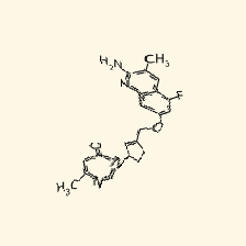 Cc1cc(=O)n(C2C=C(COc3cc(F)c4cc(C)c(N)nc4c3)CC2)cn1